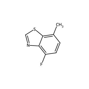 Cc1ccc(F)c2ncsc12